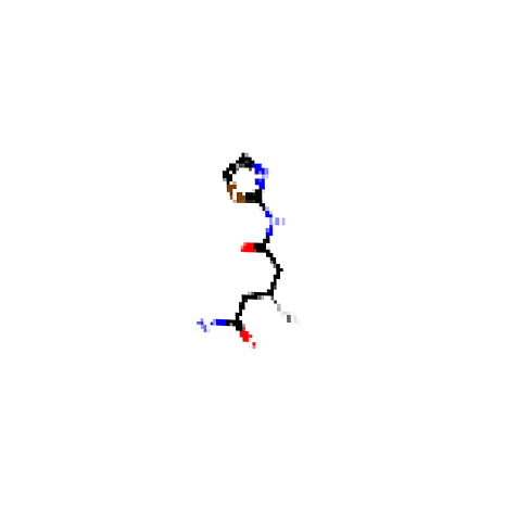 C[C@@H]([CH]C(=O)Nc1nccs1)CC(N)=O